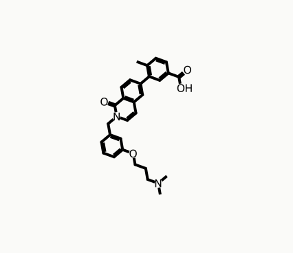 Cc1ccc(C(=O)O)cc1-c1ccc2c(=O)n(Cc3cccc(OCCCN(C)C)c3)ccc2c1